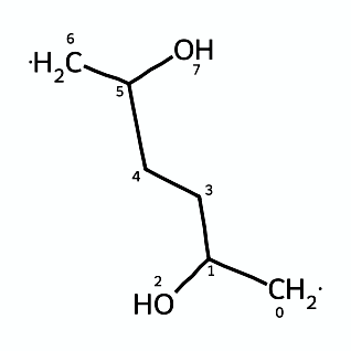 [CH2]C(O)CCC([CH2])O